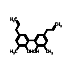 C=CCc1cc(C)c(O)c(-c2cc(CC=C)cc(C)c2O)c1